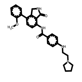 COc1ccccc1-c1ccc(NC(=O)c2ccc(NCCN3CCCC3)cc2)c2c1CNC2=O